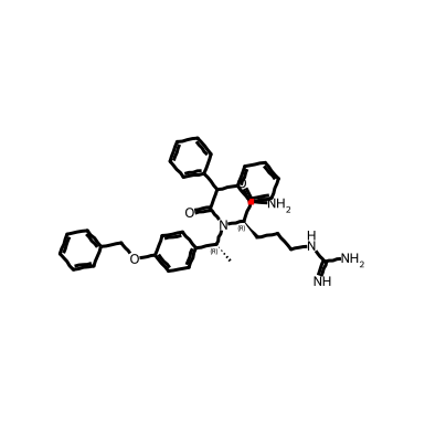 C[C@H](c1ccc(OCc2ccccc2)cc1)N(C(=O)C(c1ccccc1)c1ccccc1)[C@H](CCCNC(=N)N)C(N)=O